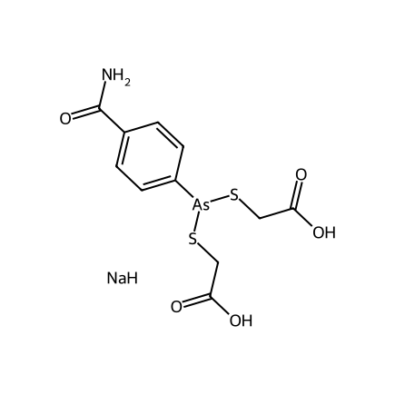 NC(=O)c1ccc([As](SCC(=O)O)SCC(=O)O)cc1.[NaH]